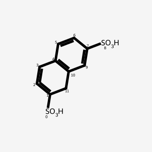 O=S(=O)(O)C1=C=Cc2ccc(S(=O)(=O)O)cc2C1